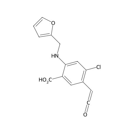 O=C=Cc1cc(C(=O)O)c(NCc2ccco2)cc1Cl